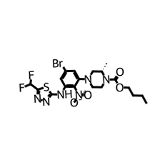 CCCCOC(=O)N1CCN(c2cc(Br)cc(Nc3nnc(C(F)F)s3)c2[N+](=O)[O-])C[C@@H]1C